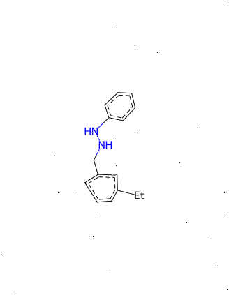 CCc1cccc(CNNc2ccccc2)c1